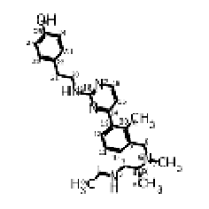 CCNC[C@H](C)N(C)Cc1cccc(-c2ccnc(NCCc3ccc(O)cc3)n2)c1C